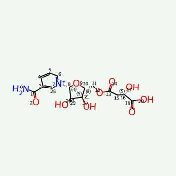 NC(=O)c1ccc[n+]([C@@H]2O[C@H](COC(=O)C[C@H](O)C(=O)O)[C@@H](O)[C@H]2O)c1